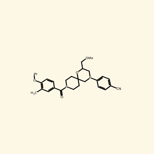 COCC1CN(c2ccc(C#N)cc2)CC2(CCN(C(=O)c3ccc(OC(C)C)c(C)c3)CC2)O1